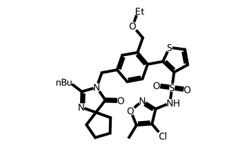 CCCCC1=NC2(CCCC2)C(=O)N1Cc1ccc(-c2sccc2S(=O)(=O)Nc2noc(C)c2Cl)c(COCC)c1